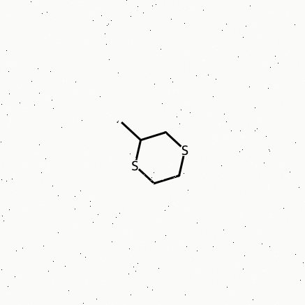 [CH2]C1CSCCS1